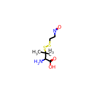 CC(C)(SSCCN=O)C(N)C(=O)O